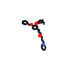 COc1cc(C=CCOCCCN2CCCCC2)ccc1OCc1ccccc1